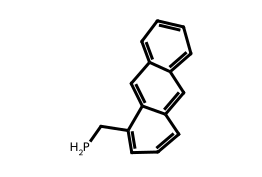 PCc1cccc2cc3ccccc3cc12